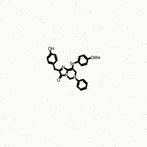 COc1ccc([Se]C2=C3N=C(Cc4ccc(O)cc4)C(=O)N3CN(c3ccccc3)C2)cc1